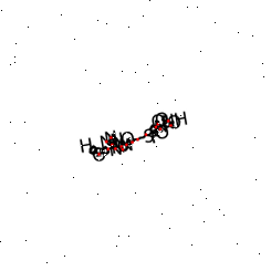 Nc1ncnc2c1c(-c1ccc(Oc3ccccc3)cc1)nn2[C@@H]1CCCN(C(=O)CCCCCCSc2ccc3c(c2F)C(=O)N(C2CCC(=O)NC2=O)C3=O)C1